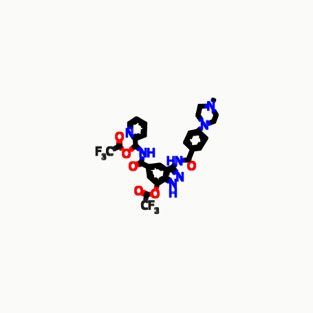 CN1CCN(c2ccc(C(=O)Nc3n[nH]c4c(OC(=O)C(F)(F)F)cc(C(=O)NC(OC(=O)C(F)(F)F)c5ccccn5)cc34)cc2)CC1